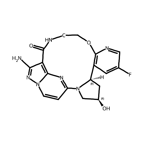 Nc1nn2ccc3nc2c1C(=O)NCCOc1ncc(F)cc1[C@H]1C[C@@H](O)CN31